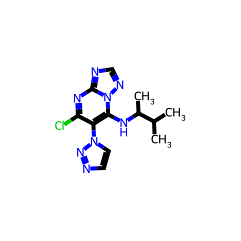 CC(C)C(C)Nc1c(-n2ccnn2)c(Cl)nc2ncnn12